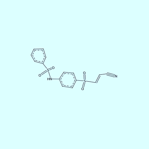 N#CC=CS(=O)(=O)c1ccc(NS(=O)(=O)c2ccccc2)cc1